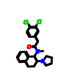 CN(C(=O)Cc1ccc(Cl)c(Cl)c1)C1c2ccccc2CCC1N1CCCC1